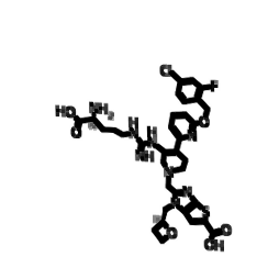 N=C(NCCC[C@H](N)C(=O)O)NC1=C(c2cccc(OCc3ccc(Cl)cc3F)n2)CCN(Cc2nc3sc(C(=O)O)cc3n2C[C@@H]2CCO2)C1